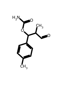 Cc1ccc(C(OC(N)=O)C(C)C=O)cc1